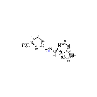 FC(F)(F)c1cccc(/C=N/Nc2ncnc3[nH]cnc23)c1